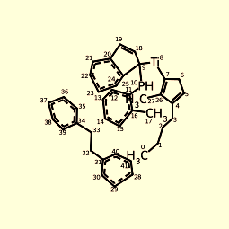 CCCCC1=CC[C]([Ti][C]2(Pc3ccccc3C)C=Cc3ccccc32)=C1C.c1ccc(CCc2ccccc2)cc1